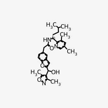 Cc1cnc([C@@H](CCC(C)C)NC(=O)Cc2ccc3oc(C(O)c4c(C)noc4C)cc3c2)c(C)c1